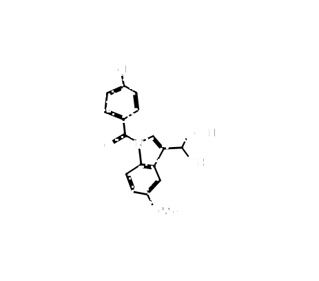 COc1ccc2c(c1)c(C(C)C(=O)O)cn2C(=O)c1ccc(Cl)cc1